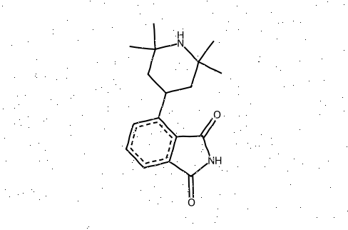 CC1(C)CC(c2cccc3c2C(=O)NC3=O)CC(C)(C)N1